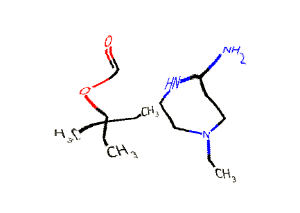 CC(C)(C)OC=O.CN1CCNC(N)C1